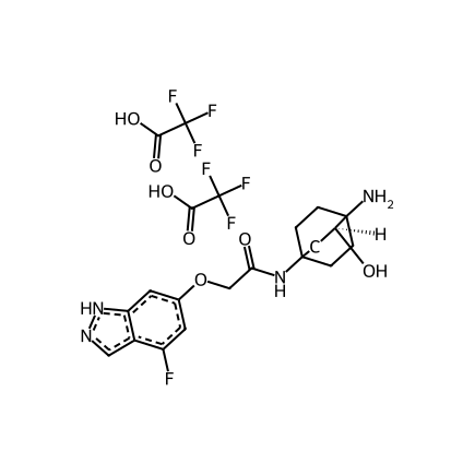 NC12CCC(NC(=O)COc3cc(F)c4cn[nH]c4c3)(CC1)C[C@@H]2O.O=C(O)C(F)(F)F.O=C(O)C(F)(F)F